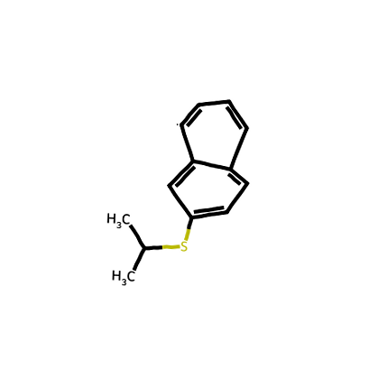 CC(C)Sc1ccc2ccc[c]c2c1